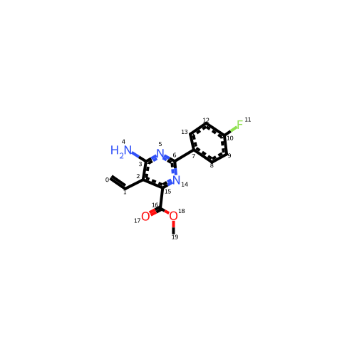 C=Cc1c(N)nc(-c2ccc(F)cc2)nc1C(=O)OC